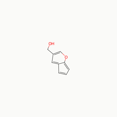 OCc1coc2cccc-2c1